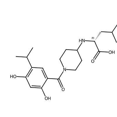 CC(C)C[C@@H](NC1CCN(C(=O)c2cc(C(C)C)c(O)cc2O)CC1)C(=O)O